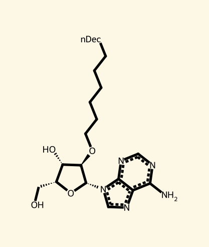 CCCCCCCCCCCCCCCCO[C@@H]1[C@@H](O)[C@@H](CO)O[C@H]1n1cnc2c(N)ncnc21